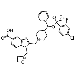 CC1(c2ccc(Cl)cc2F)Oc2ccccc2C(C2CCN(Cc3nc4cc(C(=O)O)ccc4n3C[C@@H]3CCO3)CC2)O1